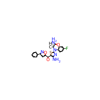 C[C@@H](C(N)=O)N(c1ccc(F)cc1)c1nc(N)c(C(=O)c2cc(-c3ccccc3)no2)s1